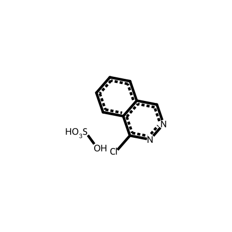 Clc1nncc2ccccc12.O=S(=O)(O)O